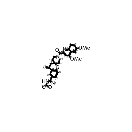 COc1ccc2nc(C(=O)N3CCC4(CC3)CC(=O)c3cc(-c5noc(=O)[nH]5)ccc3O4)cc(OC)c2c1